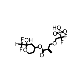 C=C(COCC(F)(F)S(=O)(=O)O)C(=O)OC1CCOC(O)(C(F)(F)F)C1